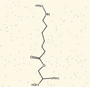 CCCCCCCCC(CCCCCC)COC(=O)CCCCCCNCCCCCC